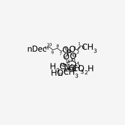 CC=COP(=O)(OCCCCCCCCCCCCCC)OC(CC(=O)O)C[N+](C)(C)C.[OH-]